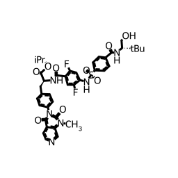 CC(C)OC(=O)[C@H](Cc1ccc(-n2c(=O)c3ccncc3n(C)c2=O)cc1)NC(=O)c1cc(F)c(NS(=O)(=O)c2ccc(C(=O)N[C@H](CO)C(C)(C)C)cc2)cc1F